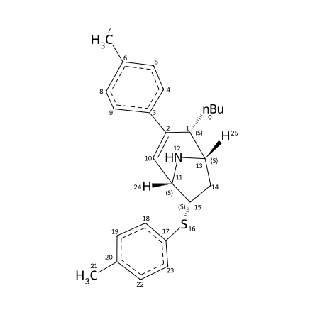 CCCC[C@H]1C(c2ccc(C)cc2)=C[C@@H]2N[C@H]1C[C@@H]2Sc1ccc(C)cc1